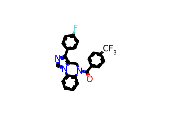 O=C(c1ccc(C(F)(F)F)cc1)N1Cc2c(-c3ccc(F)cc3)ncn2-c2ccccc21